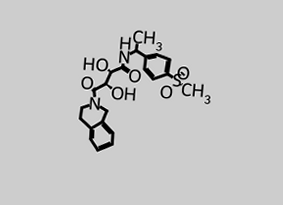 CC(NC(=O)[C@H](O)[C@@H](O)C(=O)N1CCc2ccccc2C1)c1ccc(S(C)(=O)=O)cc1